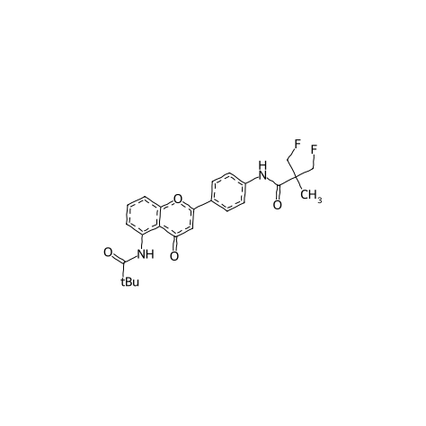 CC(C)(C)C(=O)Nc1cccc2oc(-c3ccc(NC(=O)C(C)(CF)CF)cc3)cc(=O)c12